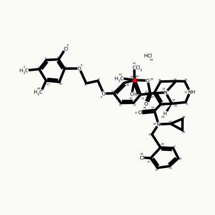 Cc1cc(Cl)c(OCCOc2ccc(C3=C(C(=O)N(Cc4ccccc4Cl)C4CC4)[C@H]4CNCC(C3)N4C(=O)OC(C)(C)C(Cl)(Cl)Cl)cc2)cc1C.Cl